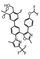 Cc1nc(-c2ccc(OC(F)F)cc2)c(-c2cc(-c3cc(F)c(CO)c(S(C)(=O)=O)c3)ccc2-n2nc(C(F)(F)F)cc2C)o1